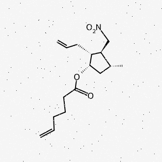 C=CCCCC(=O)O[C@H]1C[C@@H](C)[C@H](C[N+](=O)[O-])[C@H]1CC=C